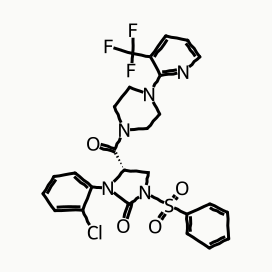 O=C([C@@H]1CN(S(=O)(=O)c2ccccc2)C(=O)N1c1ccccc1Cl)N1CCN(c2ncccc2C(F)(F)F)CC1